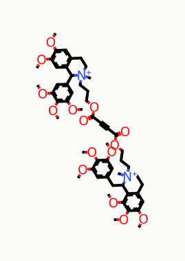 COc1cc2c(cc1OC)C(c1cc(OC)c(OC)c(OC)c1)[N+](C)(CCCOC(=O)C#CC(=O)OCCC[N+]1(C)CCc3cc(OC)c(OC)c(OC)c3C1Cc1cc(OC)c(OC)c(OC)c1)CC2